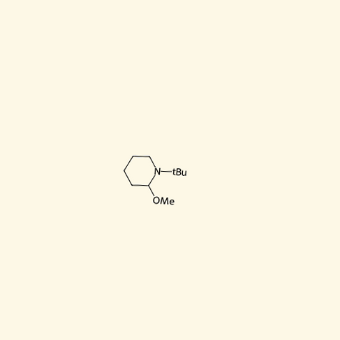 COC1CCCCN1C(C)(C)C